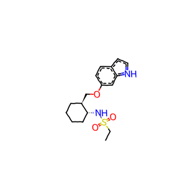 CCS(=O)(=O)N[C@@H]1CCCC[C@H]1COc1ccc2cc[nH]c2c1